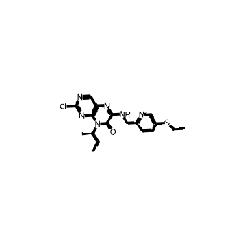 CCSc1ccc(CNc2nc3cnc(Cl)nc3n([C@H](C)CC)c2=O)nc1